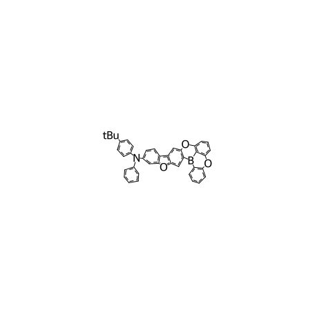 CC(C)(C)c1ccc(N(c2ccccc2)c2ccc3c(c2)oc2cc4c(cc23)Oc2cccc3c2B4c2ccccc2O3)cc1